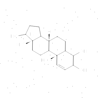 C[C@]12C=CC(O)C(O)C1CC[C@@H]1[C@@H]2CC[C@]2(C)C(O)CC[C@@H]12